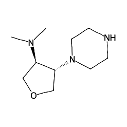 CN(C)[C@@H]1COC[C@H]1N1CCNCC1